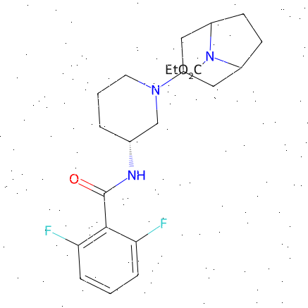 CCOC(=O)N1C2CCC1CC(N1CCC[C@@H](NC(=O)c3c(F)cccc3F)C1)C2